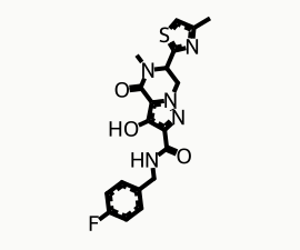 Cc1csc(C2Cn3nc(C(=O)NCc4ccc(F)cc4)c(O)c3C(=O)N2C)n1